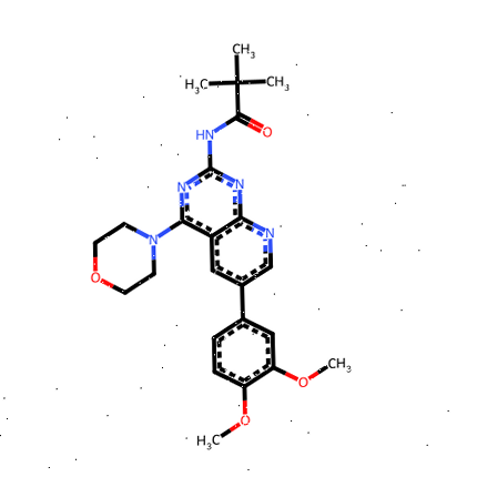 COc1ccc(-c2cnc3nc(NC(=O)C(C)(C)C)nc(N4CCOCC4)c3c2)cc1OC